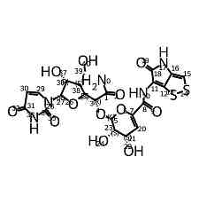 NC(=O)[C@H](O[C@H]1OC(C(=O)Nc2c3sscc-3[nH]c2=O)=C[C@H](O)[C@@H]1O)[C@H]1O[C@@H](n2ccc(=O)[nH]c2=O)[C@H](O)[C@@H]1CO